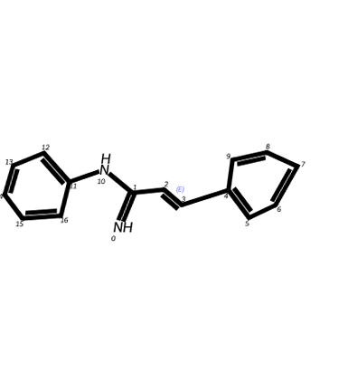 N=C(/C=C/c1ccccc1)Nc1ccccc1